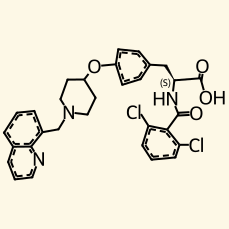 O=C(N[C@@H](Cc1ccc(OC2CCN(Cc3cccc4cccnc34)CC2)cc1)C(=O)O)c1c(Cl)cccc1Cl